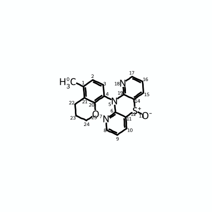 Cc1ccc(N2c3ncccc3[S+]([O-])c3cccnc32)c2c1CCCO2